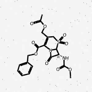 COC(=O)N[C@@H]1C(=O)N2C(C(=O)OCc3ccccc3)=C(COC(C)=O)CS(=O)(=O)C12